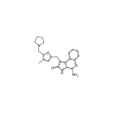 Cc1cc(Cn2c(=O)[nH]c3c(N)nc4ccccc4c32)sc1CN1CCCC1